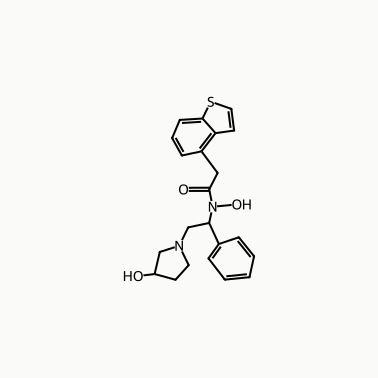 O=C(Cc1cccc2sccc12)N(O)C(CN1CCC(O)C1)c1ccccc1